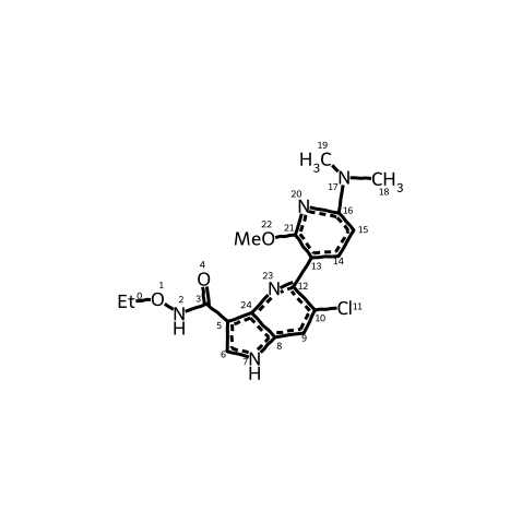 CCONC(=O)c1c[nH]c2cc(Cl)c(-c3ccc(N(C)C)nc3OC)nc12